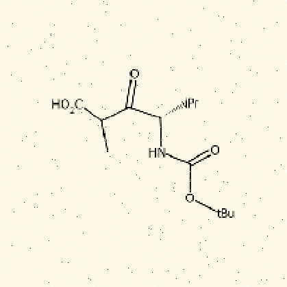 CC(C(=O)O)C(=O)[C@@H](NC(=O)OC(C)(C)C)C(C)C